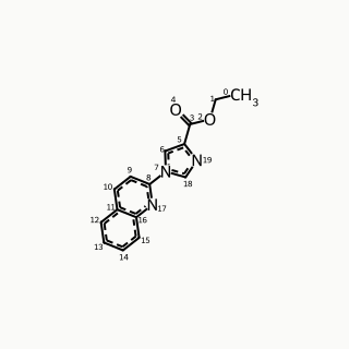 CCOC(=O)c1cn(-c2ccc3ccccc3n2)cn1